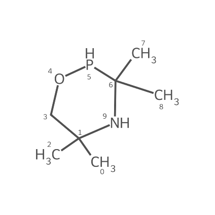 CC1(C)COPC(C)(C)N1